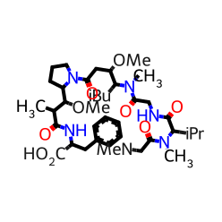 CCC(C)C(C(CC(=O)N1CCCC1C(OC)C(C)C(=O)NC(Cc1ccccc1)C(=O)O)OC)N(C)C(=O)CNC(=O)C(C(C)C)N(C)C(=O)CNC